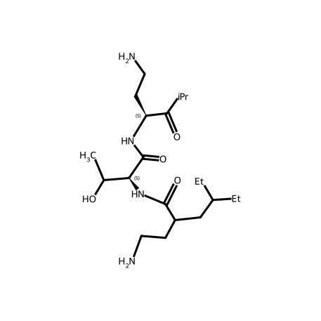 CCC(CC)CC(CCN)C(=O)N[C@H](C(=O)N[C@@H](CCN)C(=O)C(C)C)C(C)O